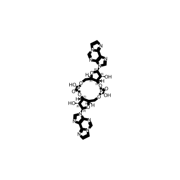 O=P1(O)OC[C@H]2O[C@@H](n3cnc4c3ncn3ccnc43)[C@H](O)[C@@H]2OP(=O)(O)OC[C@H]2O[C@@H](n3cnc4c3ncn3ccnc43)[C@H](O)[C@@H]2O1